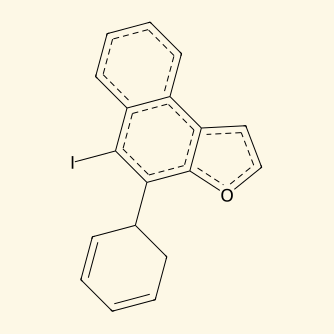 Ic1c(C2C=CC=CC2)c2occc2c2ccccc12